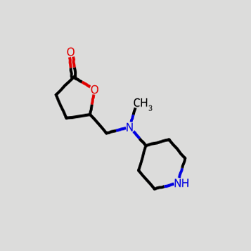 CN(CC1CCC(=O)O1)C1CCNCC1